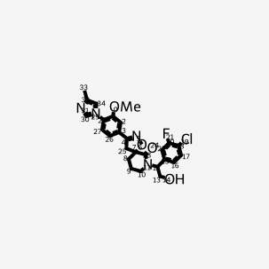 COc1cc(C2=NOC3(CCCN(C(CO)c4ccc(Cl)c(F)c4)C3=O)C2)ccc1-n1cnc(C)c1